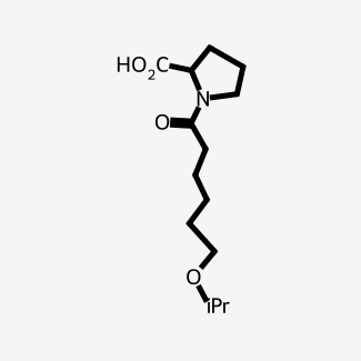 CC(C)OCCCCCC(=O)N1CCCC1C(=O)O